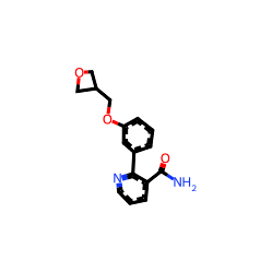 NC(=O)c1cccnc1-c1cccc(OCC2COC2)c1